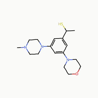 CC(S)c1cc(N2CCOCC2)cc(N2CCN(C)CC2)c1